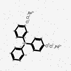 [Cl-].[Cl-].[Cl-].[Cl-].[Pd+2].[Ra+2].c1ccc(P(c2ccccc2)c2ccccc2)cc1